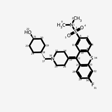 CN(C)S(=O)(=O)c1ccc2c(c1)C(=C1CCN(C[C@H]3CC[C@H](O)CC3)CC1)c1ccc(F)cc1S2